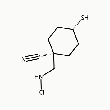 N#C[C@]1(CNCl)CC[C@H](S)CC1